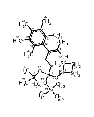 CC(C)=C(CC[Si](O[SiH]1[SiH2][SiH2][SiH2]1)(O[Si](C)(C)C)O[Si](C)(C)C)c1c(C)c(C)c(C)c(C)c1C